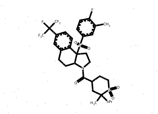 CCCC1(C)CC(C(=O)N2CCC3(S(=O)(=O)c4ccc(F)c(C)c4)c4ccc(C(F)(C(F)(F)F)C(F)(F)F)cc4CCC23)CCS1(=O)=O